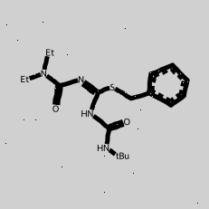 CCN(CC)C(=O)N=C(NC(=O)NC(C)(C)C)SCc1ccccc1